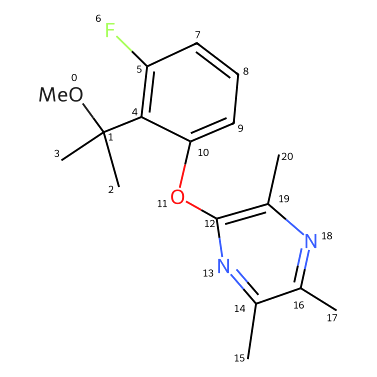 COC(C)(C)c1c(F)cccc1Oc1nc(C)c(C)nc1C